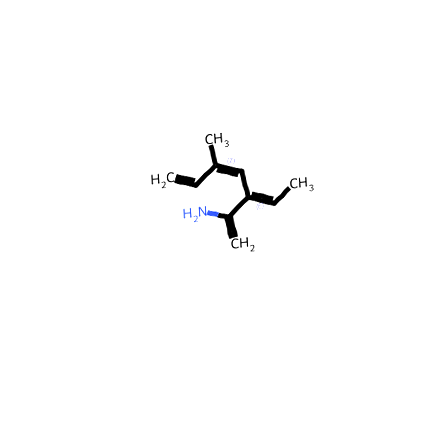 C=C/C(C)=C\C(=C/C)C(=C)N